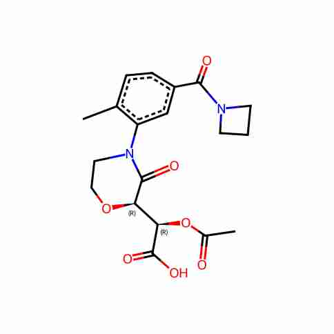 CC(=O)O[C@@H](C(=O)O)[C@H]1OCCN(c2cc(C(=O)N3CCC3)ccc2C)C1=O